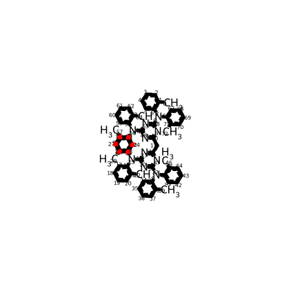 Cc1ccccc1N(c1nc(Cc2nc(N(c3ccccc3C)c3ccccc3C)nc(N(c3ccccc3C)c3ccccc3C)n2)nc(N(c2ccccc2C)c2ccccc2C)n1)c1ccccc1C